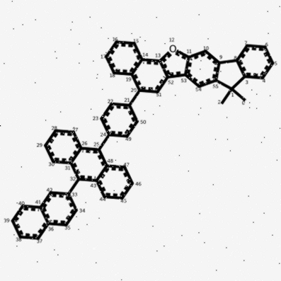 CC1(C)c2ccccc2-c2cc3oc4c5ccccc5c(-c5ccc(-c6c7ccccc7c(-c7ccc8ccccc8c7)c7ccccc67)cc5)cc4c3cc21